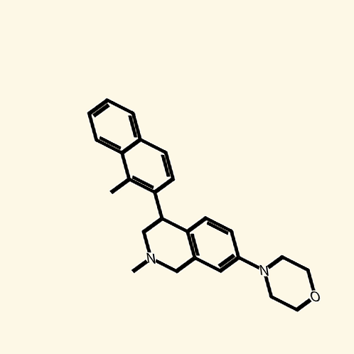 Cc1c(C2CN(C)Cc3cc(N4CCOCC4)ccc32)ccc2ccccc12